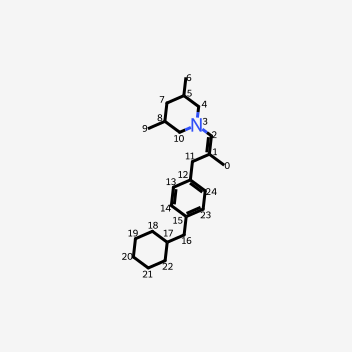 CC(=CN1CC(C)CC(C)C1)Cc1ccc(CC2CCCCC2)cc1